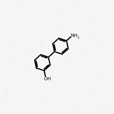 Nc1ccc(-c2cccc(O)c2)cc1